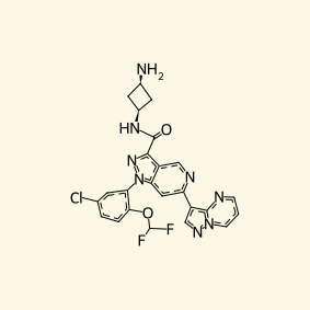 N[C@H]1C[C@@H](NC(=O)c2nn(-c3cc(Cl)ccc3OC(F)F)c3cc(-c4cnn5cccnc45)ncc23)C1